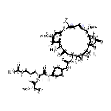 CN[C@H](C(=O)N[C@@H](CCCNC(N)=O)C(=O)Nc1ccc(NC(=O)O[C@H]2CC(=O)N(C)c3cc(cc(OC)c3Cl)C/C(C)=C/C=C/[C@@H](OC)[C@@]3(O)C[C@H](OC(=O)N3)[C@@H](C)[C@@H]3O[C@@]23C)cc1)C(C)C